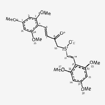 COc1cc(OC)c(C=CC(=O)C[S+]([O-])C=Cc2c(OC)cc(OC)cc2OC)c(OC)c1